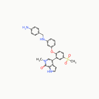 Cn1cc(-c2cc(S(C)(=O)=O)ccc2Oc2cccc(NCc3ccc(N)cc3)c2)c2cc[nH]c2c1=O